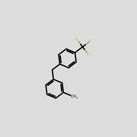 Cc1cccc(Cc2ccc(C(F)(F)F)cc2)c1